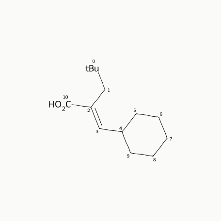 CC(C)(C)CC(=CC1CCCCC1)C(=O)O